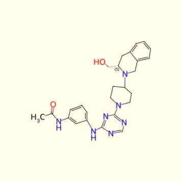 CC(=O)Nc1cccc(Nc2ncnc(N3CCC(N4Cc5ccccc5C[C@H]4CO)CC3)n2)c1